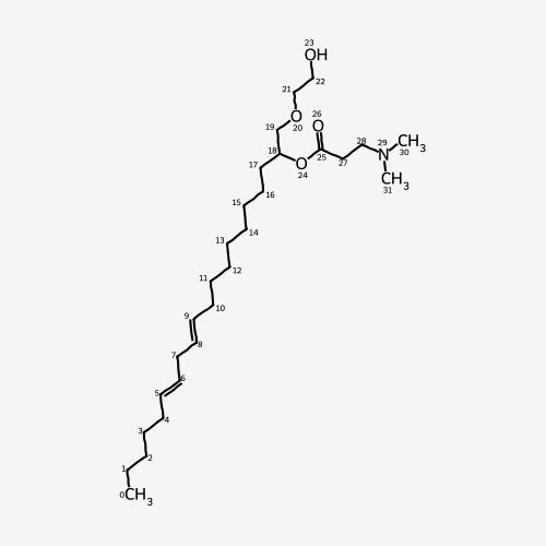 CCCCCC=CCC=CCCCCCCCCC(COCCO)OC(=O)CCN(C)C